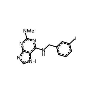 CNc1nc(NCc2cccc(I)c2)c2[nH]cnc2n1